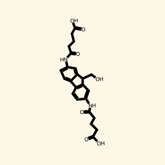 O=C(O)CCCC(=O)Nc1ccc2c(c1)C(CO)c1cc(NC(=O)CCCC(=O)O)ccc1-2